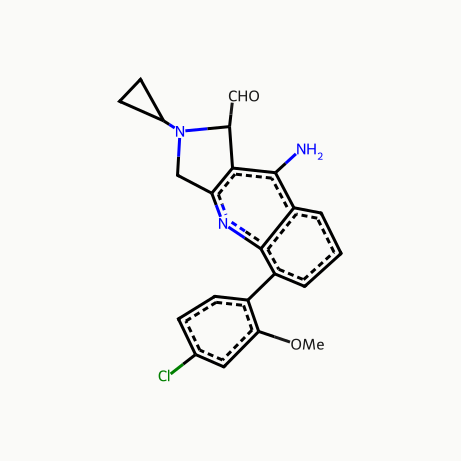 COc1cc(Cl)ccc1-c1cccc2c(N)c3c(nc12)CN(C1CC1)C3C=O